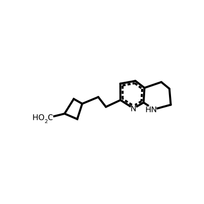 O=C(O)C1CC(CCc2ccc3c(n2)NCCC3)C1